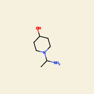 CC(N)N1CCC(O)CC1